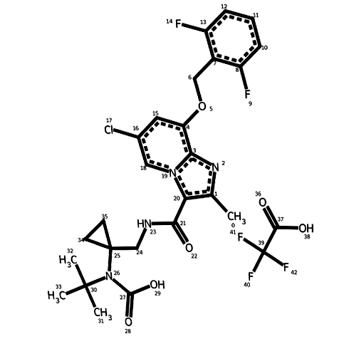 Cc1nc2c(OCc3c(F)cccc3F)cc(Cl)cn2c1C(=O)NCC1(N(C(=O)O)C(C)(C)C)CC1.O=C(O)C(F)(F)F